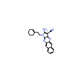 N#Cc1c(N)n(CCC2=CCCCC2)c2nc3cc4ccccc4cc3nc12